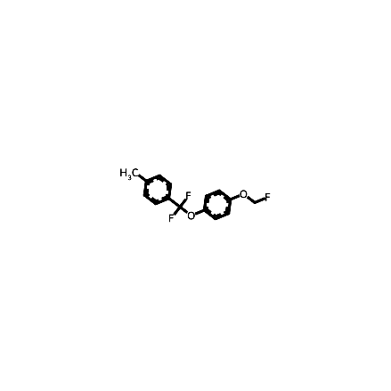 Cc1ccc(C(F)(F)Oc2ccc(OCF)cc2)cc1